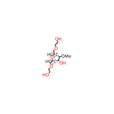 COC(C(=O)O)C(O)C(=O)O.OCCOCCOCCOCCO